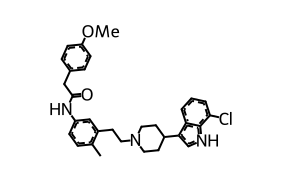 COc1ccc(CC(=O)Nc2ccc(C)c(CCN3CCC(c4c[nH]c5c(Cl)cccc45)CC3)c2)cc1